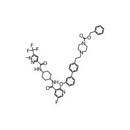 Cn1nc(C(=O)NC2CCC(NC(=O)c3cc(F)cnc3Oc3cccc(-c4ccc(CCN5CCN(C(=O)OCc6ccccc6)CC5)cc4)c3)CC2)cc1C(F)(F)F